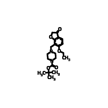 CCOc1ccc2c(c1CN1CCN(C(=O)OC(C)(C)C)CC1)OCC2=O